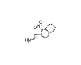 CN/C=C/c1ccc2ccccc2c1[N+](=O)[O-]